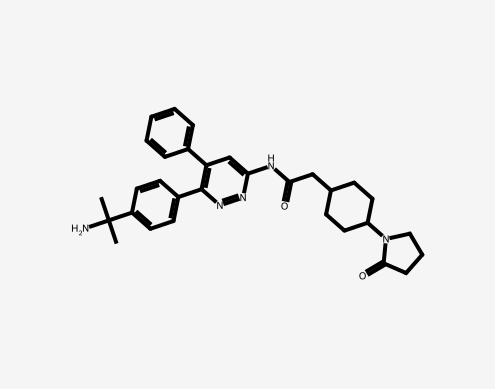 CC(C)(N)c1ccc(-c2nnc(NC(=O)CC3CCC(N4CCCC4=O)CC3)cc2-c2ccccc2)cc1